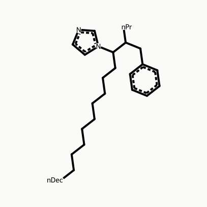 CCCCCCCCCCCCCCCCCCCC(C(CCC)Cc1ccccc1)n1ccnc1